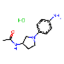 CC(=O)NC1CCN(c2ccc(N)cc2)C1.Cl